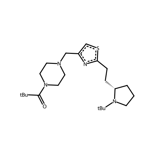 CC(C)(C)C(=O)N1CCN(Cc2csc(CC[C@@H]3CCCN3C(C)(C)C)n2)CC1